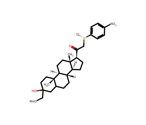 COCC1(O)CC[C@@]2(C)C(CC[C@H]3[C@@H]4CC[C@H](C(=O)C[S@+]([O-])c5ccc([N+](=O)[O-])cc5)[C@@]4(C)CC[C@@H]32)C1